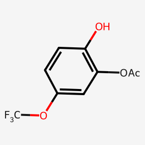 CC(=O)Oc1cc(OC(F)(F)F)ccc1O